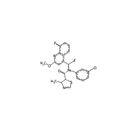 COc1cc(C(F)N(C(=O)C2SC=NC2C)c2cccc(Cl)c2)c2cccc(F)c2n1